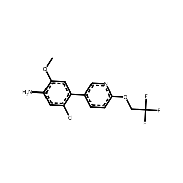 COc1cc(-c2ccc(OCC(F)(F)F)nc2)c(Cl)cc1N